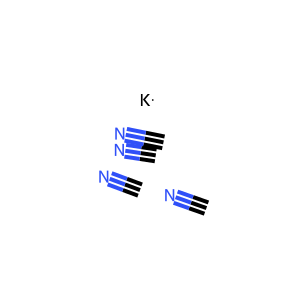 C#N.C#N.C#N.C#N.[K]